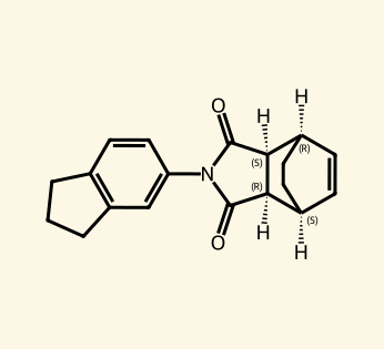 O=C1[C@@H]2[C@H](C(=O)N1c1ccc3c(c1)CCC3)[C@@H]1C=C[C@H]2CC1